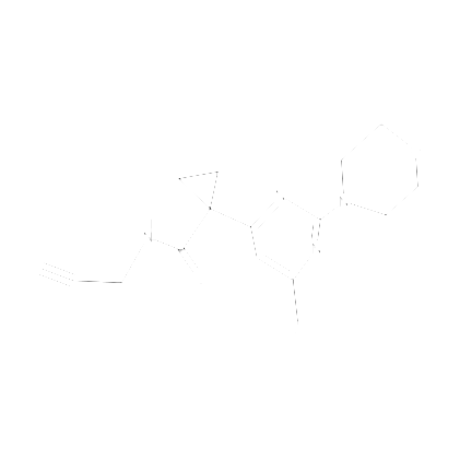 C#CCNC(=O)C1(c2cc(Cl)nc(N3CCOCC3)n2)CC1